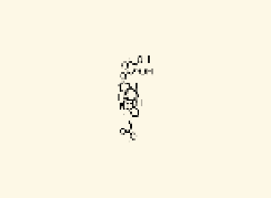 COC(=O)/C=C/[C@H]1CC[C@]2(O)[C@@H]3CC[C@@H]4C[C@@H](O[C@@H]5C[C@H](O)[C@H](O)[C@@H](C)O5)CC[C@]4(C)[C@H]3CC[C@]12C